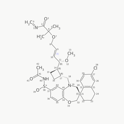 C=NC(=O)C(C)(C)OC/C=C/[C@H](OC)[C@@H]1CC[C@H]1CN1C[C@@]2(CCCc3cc(Cl)ccc32)COc2ccc([S+]([O-])NC(C)=O)cc21